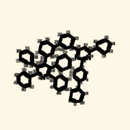 c1ccc(-c2ccc(-c3nc(-c4ccccc4)cc(-c4cccc(-c5cccc(-c6c(-c7ccccc7)c(-c7ccccc7)nc(-c7ccccc7)c6-c6ccccc6)c5)c4)n3)cc2)cc1